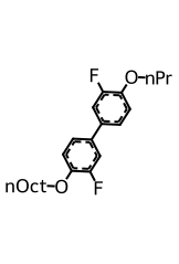 CCCCCCCCOc1ccc(-c2ccc(OCCC)c(F)c2)cc1F